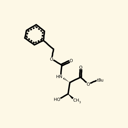 C[C@@H](O)[C@H](NC(=O)OCc1ccccc1)C(=O)OC(C)(C)C